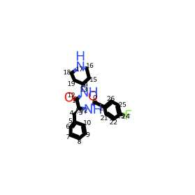 O=C(N[C@@H](Cc1ccccc1)C(=O)NC1CCNCC1)c1ccc(F)cc1